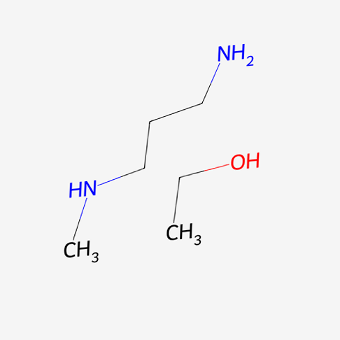 CCO.CNCCCN